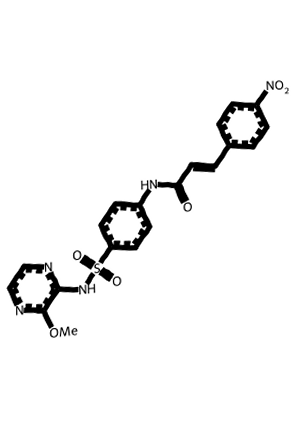 COc1nccnc1NS(=O)(=O)c1ccc(NC(=O)C=Cc2ccc([N+](=O)[O-])cc2)cc1